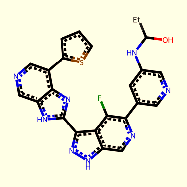 CCC(O)Nc1cncc(-c2ncc3[nH]nc(-c4nc5c(-c6cccs6)cncc5[nH]4)c3c2F)c1